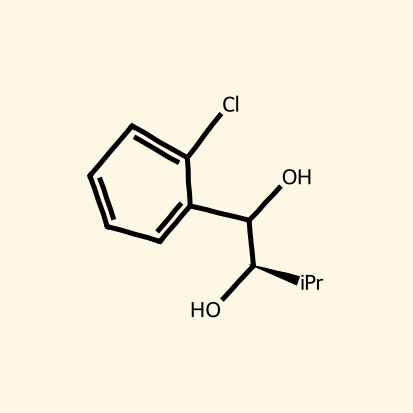 CC(C)[C@@H](O)C(O)c1ccccc1Cl